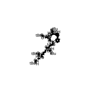 CC(C)(C)OC(=O)NCCNC(=O)C(CCCCNC(=O)C(CCNC(=O)[C@@H]1Cc2cccc(c2)-c2ccc(O)c(c2)C[C@H](NC(=O)OC(C)(C)C)C(=O)N[C@@H](C[C@@H](O)CNC(=O)OC(C)(C)C)C(=O)N1)NC(=O)OC(C)(C)C)NC(=O)OC(C)(C)C